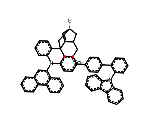 C[C@H]1CC2C[C@@H]3C=C2C(c2ccccc2N(c2ccc(-c4ccc(-c5ccccc5-n5c6ccccc6c6ccccc65)cc4)cc2)c2cc4ccccc4c4ccccc24)(C1)C3